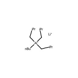 CCC[CH2][Al-]([CH2]C(C)C)([CH2]C(C)C)[CH2]C(C)C.[Li+]